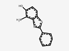 Nc1c(O)ccc2sc(-c3ccccc3)nc12